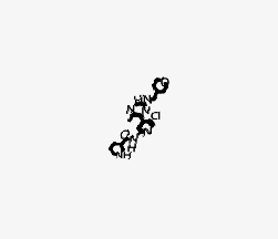 Cc1ncc(NCC2CCOCC2)nc1-c1cc(NC(=O)C2CCCNC2)ncc1Cl